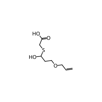 C=CCOCCC(O)SCC(=O)O